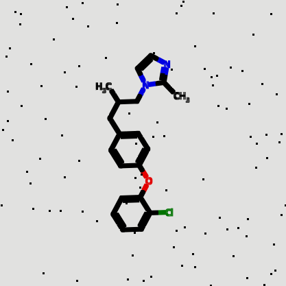 Cc1nccn1CC(C)Cc1ccc(Oc2ccccc2Cl)cc1